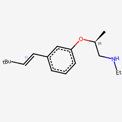 CCNC[C@H](C)Oc1cccc(/C=C/C(C)(C)C)c1